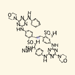 O=S(=O)(O)c1cc(Nc2nc(Nc3ccccc3)nc(N3CCOCC3)n2)ccc1/C=C/c1ccc(Nc2nc(Nc3ccccc3)nc(N3CCOCC3)n2)cc1S(=O)(=O)O.[NaH].[NaH]